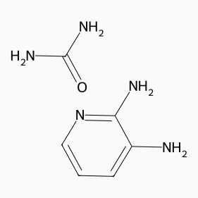 NC(N)=O.Nc1cccnc1N